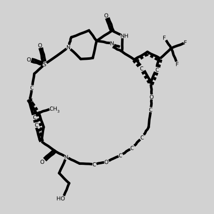 Cc1cc2ccc1CCS(=O)(=O)N1CCC3(CC1)N=C(NC3=O)c1cc(cc(C(F)(F)F)c1)OCCCCCOCCN(CCO)C2=O